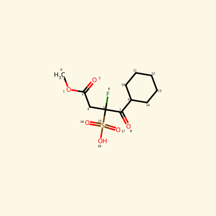 COC(=O)CC(F)(C(=O)C1CCCCC1)S(=O)(=O)O